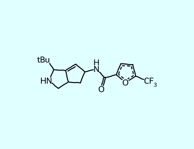 CC(C)(C)C1NCC2CC(NC(=O)c3ccc(C(F)(F)F)o3)C=C21